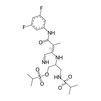 C/C(C(=O)Nc1cc(F)cc(F)c1)=C(/C=N)NC(CNS(=O)(=O)C(C)C)COS(=O)(=O)C(C)C